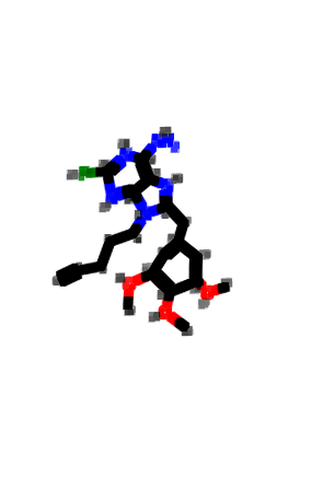 C#CCCCn1c(Cc2cc(OC)c(OC)c(OC)c2)nc2c(N)nc(F)nc21